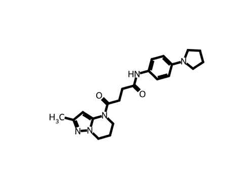 Cc1cc2n(n1)CCCN2C(=O)CCC(=O)Nc1ccc(N2CCCC2)cc1